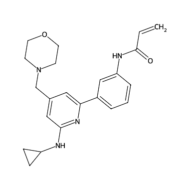 C=CC(=O)Nc1cccc(-c2cc(CN3CCOCC3)cc(NC3CC3)n2)c1